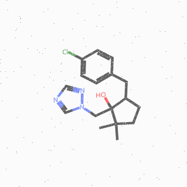 CC1(C)CCC(Cc2ccc(Cl)cc2)C1(O)Cn1cncn1